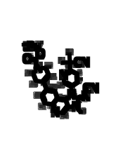 Cn1/c(=N/C#N)n(-c2ccc(C(C)(C)C#N)nc2)c2c3cc(C4=CCN(C(=O)OC(C)(C)C)CC4)ccc3ncc21